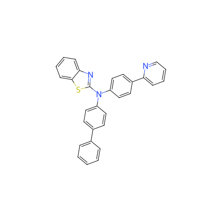 c1ccc(-c2ccc(N(c3ccc(-c4ccccn4)cc3)c3nc4ccccc4s3)cc2)cc1